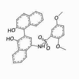 COc1ccc(OC)c(S(=O)(=O)Nc2cc(-c3c(O)ccc4ccccc34)c(O)c3ccccc23)c1